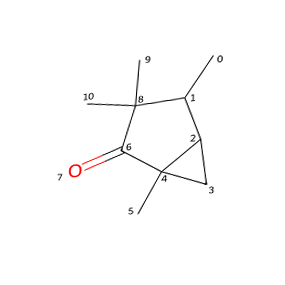 CC1C2CC2(C)C(=O)C1(C)C